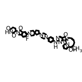 C[C@@]1(O)CC/C=C\Cn2c(=O)c3cnc(Nc4ccc(N5CCN(C6CCC7(CCN(c8cc9c(cc8F)CN(C8CCC(=O)NC8=O)C9=O)CC7)C6)CC5)cc4)nc3n2-c2cccc1n2